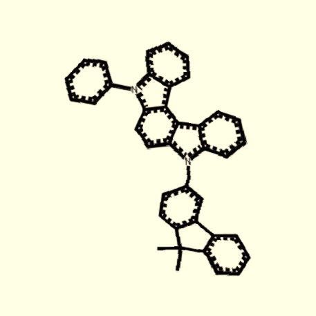 CC1(C)c2ccccc2-c2cc(-n3c4ccccc4c4c5c6ccccc6n(-c6ccccc6)c5ccc43)ccc21